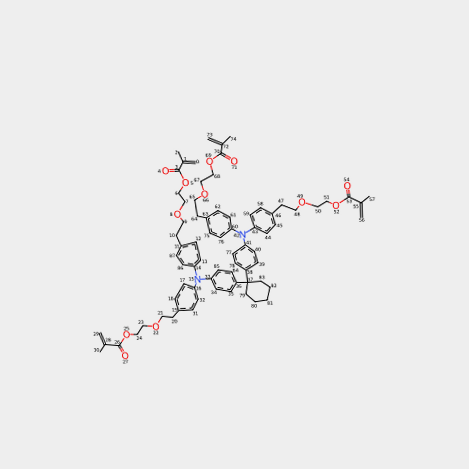 C=C(C)C(=O)OCCOCCc1ccc(N(c2ccc(CCOCCOC(=O)C(=C)C)cc2)c2ccc(C3(c4ccc(N(c5ccc(CCOCCOC(=O)C(=C)C)cc5)c5ccc(CCOCCOC(=O)C(=C)C)cc5)cc4)CCCCC3)cc2)cc1